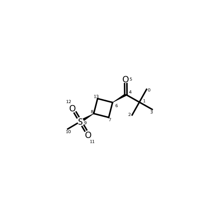 CC(C)(C)C(=O)[C@H]1C[C@@H](S(C)(=O)=O)C1